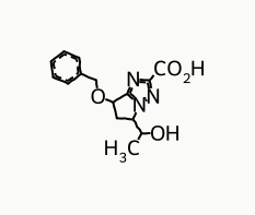 CC(O)C1CC(OCc2ccccc2)c2nc(C(=O)O)nn21